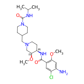 COc1cc(N)c(Cl)cc1C(=O)N[C@@H]1CCN(CC2CCN(C(=O)NC(C)C)CC2)C[C@@H]1OC